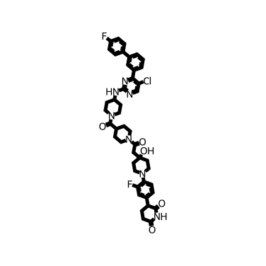 O=C1CCC(c2ccc(N3CCC(O)(CC(=O)N4CCC(C(=O)N5CCC(Nc6ncc(Cl)c(-c7cccc(-c8ccc(F)cc8)c7)n6)CC5)CC4)CC3)c(F)c2)C(=O)N1